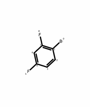 [B]c1ccc(F)cc1F